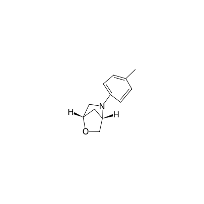 Cc1ccc(N2C[C@@H]3C[C@H]2CO3)cc1